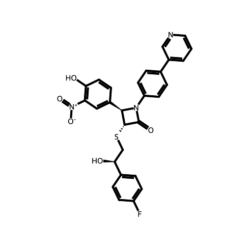 O=C1[C@H](SC[C@H](O)c2ccc(F)cc2)[C@@H](c2ccc(O)c([N+](=O)[O-])c2)N1c1ccc(-c2cccnc2)cc1